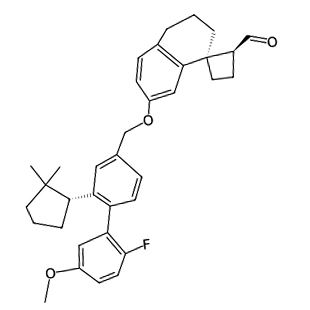 COc1ccc(F)c(-c2ccc(COc3ccc4c(c3)[C@]3(CCC4)CC[C@@H]3C=O)cc2[C@@H]2CCCC2(C)C)c1